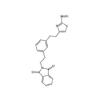 CC(=O)Nc1nc(CCc2cccc(CCN3C(=O)c4ccccc4C3=O)c2)cs1